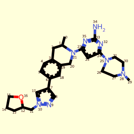 CC1Cc2ccc(-c3cnn(CC4CCCO4)c3)cc2CN1c1cc(N2CCN(C)CC2)nc(N)n1